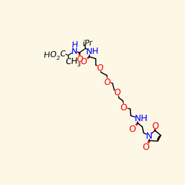 CC(C)C(NC(=O)CCOCCOCCOCCOCCNC(=O)CCN1C(=O)C=CC1=O)C(=O)N[C@@H](C)C(=O)O